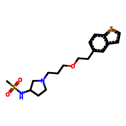 CS(=O)(=O)NC1CCN(CCCOCCc2ccc3sccc3c2)C1